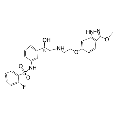 COc1n[nH]c2cc(OCCNC[C@H](O)c3cccc(NS(=O)(=O)c4ccccc4F)c3)ccc12